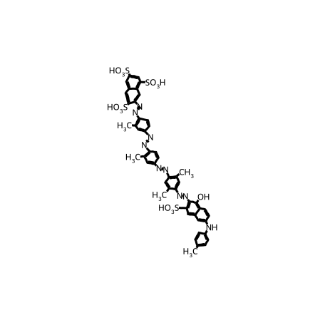 Cc1ccc(Nc2ccc3c(O)c(N=Nc4cc(C)c(N=Nc5ccc(N=Nc6ccc(N=Nc7cc8c(S(=O)(=O)O)cc(S(=O)(=O)O)cc8cc7S(=O)(=O)O)c(C)c6)c(C)c5)cc4C)c(S(=O)(=O)O)cc3c2)cc1